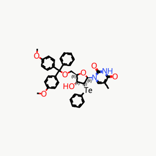 COc1ccc(C(OC[C@H]2O[C@@H](n3cc(C)c(=O)[nH]c3=O)[C@H]([Te]c3ccccc3)[C@@H]2O)(c2ccccc2)c2ccc(OC)cc2)cc1